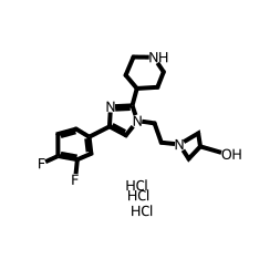 Cl.Cl.Cl.OC1CN(CCn2cc(-c3ccc(F)c(F)c3)nc2C2CCNCC2)C1